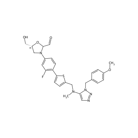 COc1ccc(Cn2nncc2N(C)Cc2ccc(-c3ccc(N4C[C@H](CO)OC4C=O)cc3F)s2)cc1